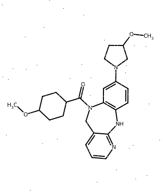 COC1CCC(C(=O)N2Cc3cccnc3Nc3ccc(N4CCC(OC)C4)cc32)CC1